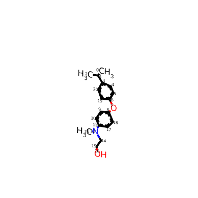 CC(C)c1ccc(Oc2ccc(N(C)CCO)cc2)cc1